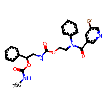 CCCCNC(=O)OC(CNC(=O)OCCN(C(=O)c1cncc(Br)c1)c1ccccc1)c1ccccc1